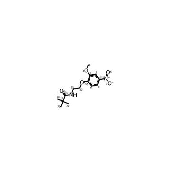 COc1cc([N+](=O)[O-])ccc1OCCNC(=O)C(C)(C)C